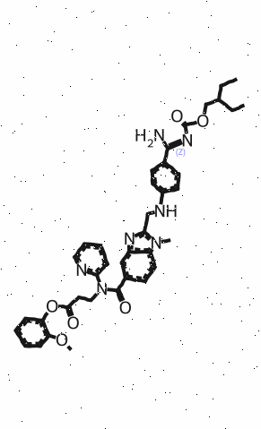 CCC(CC)COC(=O)/N=C(\N)c1ccc(NCc2nc3cc(C(=O)N(CCC(=O)Oc4ccccc4OC)c4ccccn4)ccc3n2C)cc1